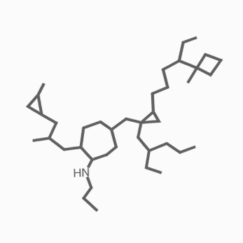 CCCNC1CCC(CC2(CC(CC)CCC)CC2CCCC(CC)C2(C)CCC2)CCC1CC(C)CC1CC1C